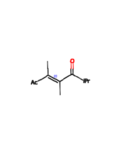 CC(=O)/C(C)=C(\C)C(=O)C(C)C